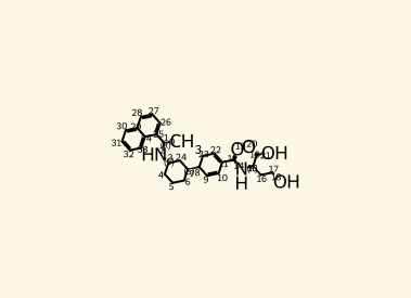 C[C@@H](N[C@H]1CCC[C@H](C2C=CC(C(=O)N[C@H](CCO)C(=O)O)=CC2)C1)c1cccc2ccccc12